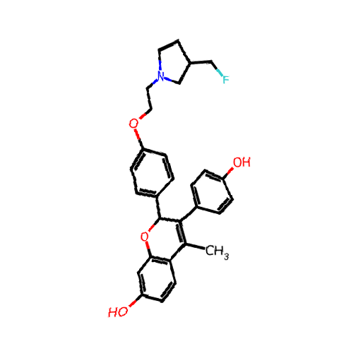 CC1=C(c2ccc(O)cc2)C(c2ccc(OCCN3CCC(CF)C3)cc2)Oc2cc(O)ccc21